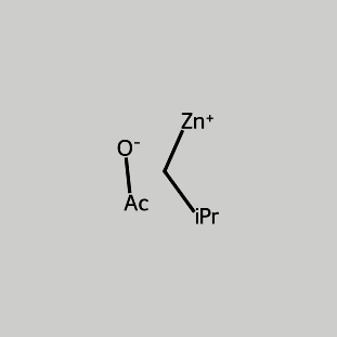 CC(=O)[O-].CC(C)[CH2][Zn+]